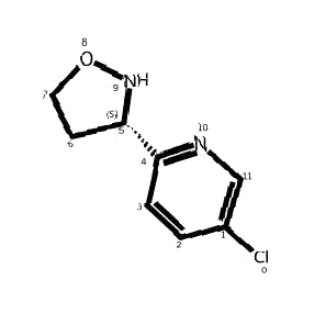 Clc1ccc([C@@H]2CCON2)nc1